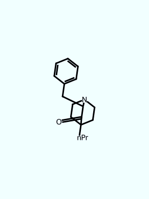 CCCC12CCN(CC1)C(Cc1ccccc1)C2=O